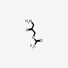 NCC(=O)COC(=O)C(F)(F)F